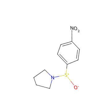 O=[N+]([O-])c1ccc([S+]([O-])N2CCCC2)cc1